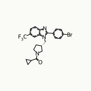 O=C(C1CC1)N1CC[C@H](Cn2c(-c3ccc(Br)cc3)nc3ccc(C(F)(F)F)cc32)C1